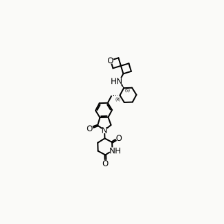 O=C1CCC(N2Cc3cc(C[C@H]4CCCC[C@@H]4NC4CCC45COC5)ccc3C2=O)C(=O)N1